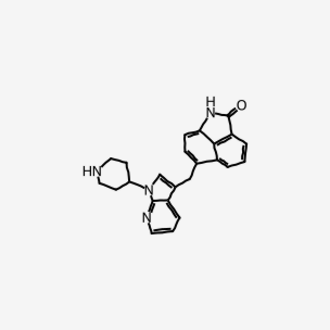 O=C1Nc2ccc(Cc3cn(C4CCNCC4)c4ncccc34)c3cccc1c23